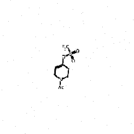 CC(=O)N1CC=C(OS(=O)(=O)C(F)(F)F)CC1